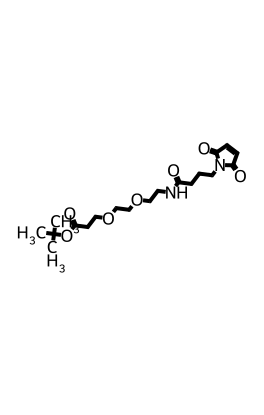 CC(C)(C)OC(=O)CCOCCOCCNC(=O)CCCN1C(=O)C=CC1=O